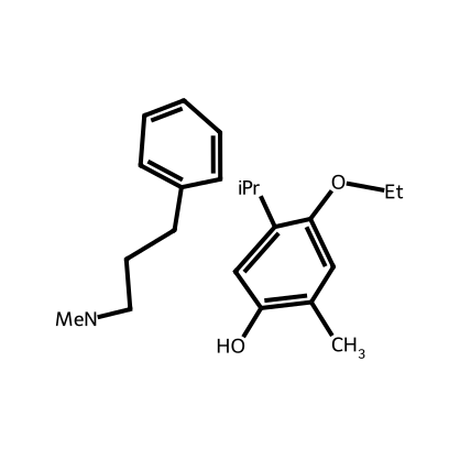 CCOc1cc(C)c(O)cc1C(C)C.CNCCCc1ccccc1